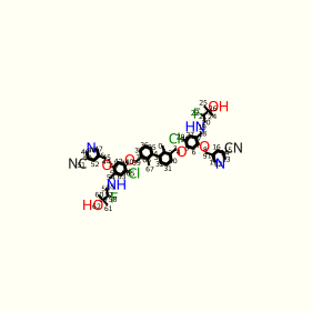 Cc1c(COc2cc(OCc3cncc(C#N)c3)c(CNCC(F)C(C)(C)O)cc2Cl)cccc1-c1cccc(COc2cc(OCc3cncc(C#N)c3)c(CNCC(F)C(C)(C)O)cc2Cl)c1C